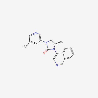 N#C[C@@H]1CN(c2cncc(C(F)(F)F)c2)C(=O)N1c1cncc2ccccc12